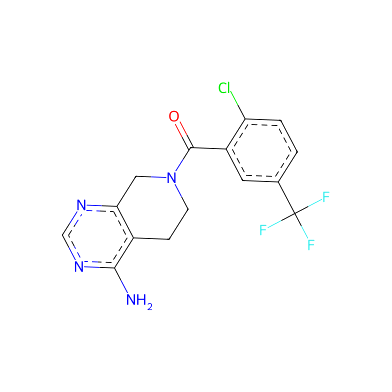 Nc1ncnc2c1CCN(C(=O)c1cc(C(F)(F)F)ccc1Cl)C2